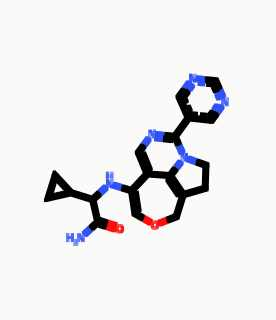 NC(=O)C(NC1=COCC2=C3C1=CN=C(c1cncnc1)N3CC2)C1CC1